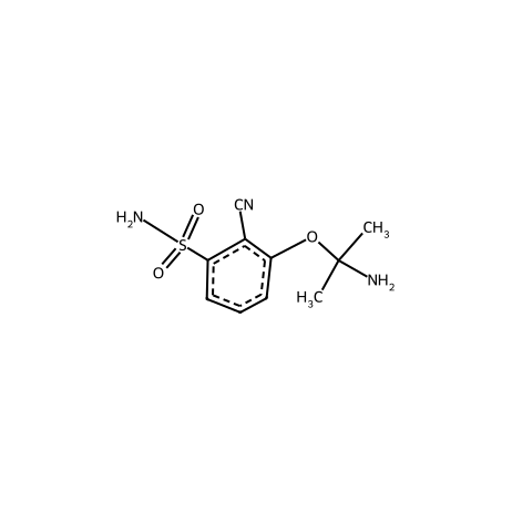 CC(C)(N)Oc1cccc(S(N)(=O)=O)c1C#N